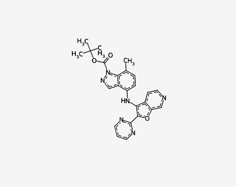 Cc1ccc(Nc2c(-c3ncccn3)oc3cnccc23)c2cnn(C(=O)OC(C)(C)C)c12